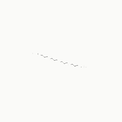 CC(C)(C)OCCCOCCCOCCCOCCCOC(C)(C)C